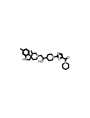 Cc1ccc2c(c1)NCC21CCN(CC(O)C2CCN(c3ncc(C(=O)N4CCCCC4)o3)CC2)CC1C